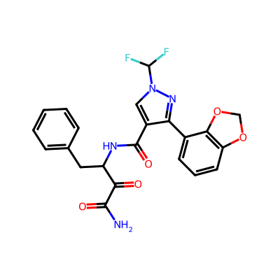 NC(=O)C(=O)C(Cc1ccccc1)NC(=O)c1cn(C(F)F)nc1-c1cccc2c1OCO2